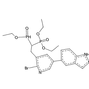 CCO[PH](=O)C(Cc1cc(-c2ccc3[nH]ncc3c2)cnc1Br)P(=O)(OCC)OCC